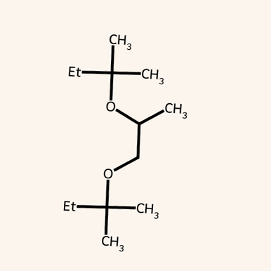 CCC(C)(C)OCC(C)OC(C)(C)CC